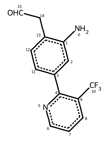 Nc1cc(-c2ncccc2C(F)(F)F)ccc1CC=O